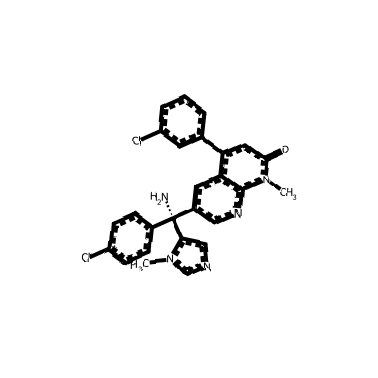 Cn1cncc1[C@@](N)(c1ccc(Cl)cc1)c1cnc2c(c1)c(-c1cccc(Cl)c1)cc(=O)n2C